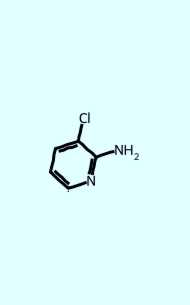 Nc1n[c]ccc1Cl